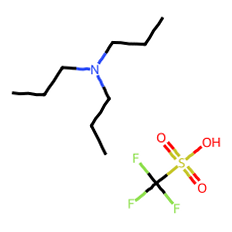 CCCN(CCC)CCC.O=S(=O)(O)C(F)(F)F